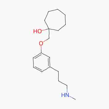 CNCCCc1cccc(OCC2(O)CCCCCC2)c1